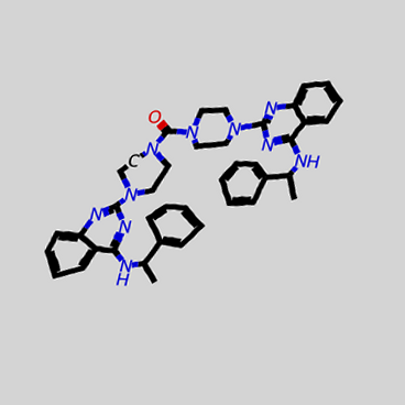 CC(Nc1nc(N2CCN(C(=O)N3CCN(c4nc(NC(C)c5ccccc5)c5ccccc5n4)CC3)CC2)nc2ccccc12)c1ccccc1